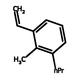 C=Cc1cccc(CCC)c1C